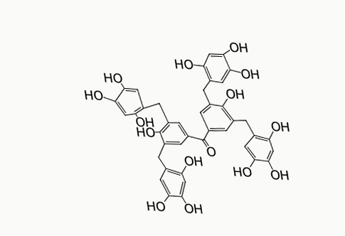 O=C(c1cc(Cc2cc(O)c(O)cc2O)c(O)c(Cc2cc(O)c(O)cc2O)c1)c1cc(Cc2cc(O)c(O)cc2O)c(O)c(Cc2cc(O)c(O)cc2O)c1